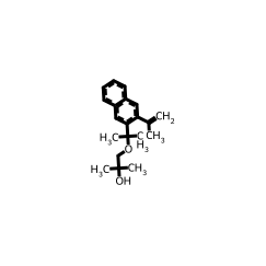 C=C(C)c1cc2ccccc2cc1C(C)(C)OCC(C)(C)O